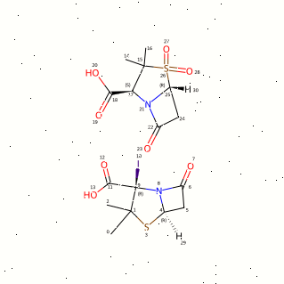 CC1(C)S[C@@H]2CC(=O)N2[C@@]1(I)C(=O)O.CC1(C)[C@H](C(=O)O)N2C(=O)C[C@H]2S1(=O)=O